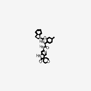 CC1CCC([C@H](NC(=O)N2CCc3ccccc32)C(=O)Nc2cc3c(cn2)C2(CCOCC2)C(=O)N3)CC1